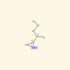 CCCC(C)C1CN1